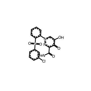 CNC(=O)c1nn(-c2ccccc2S(=O)(=O)c2cccc(Cl)c2)cc(O)c1=O